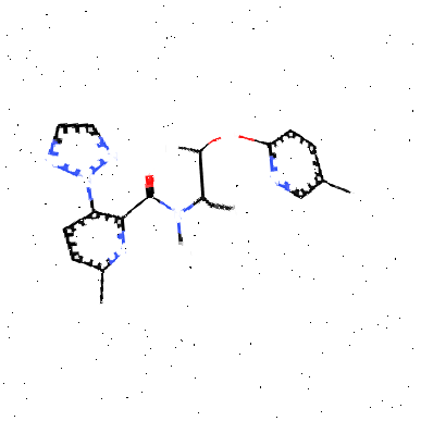 CCC(Oc1ccc(C(F)(F)F)cn1)C(CC)N(CC)C(=O)c1nc(C)ccc1-n1nccn1